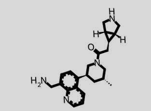 C[C@@H]1C[C@@H](c2ccc(CN)c3ncccc23)CN(C(=O)C[C@H]2[C@@H]3CNC[C@@H]32)C1